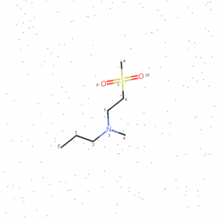 [CH2]CCN(C)CCS(C)(=O)=O